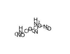 Nc1cc2c(Oc3ccc(C(=O)Nc4ccccn4)cc3)ccnc2cc1OCCN1CCOCC1